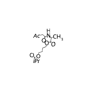 CC(=O)CC(=O)NC(C)C(=O)OCCCCOC(=O)C(C)C